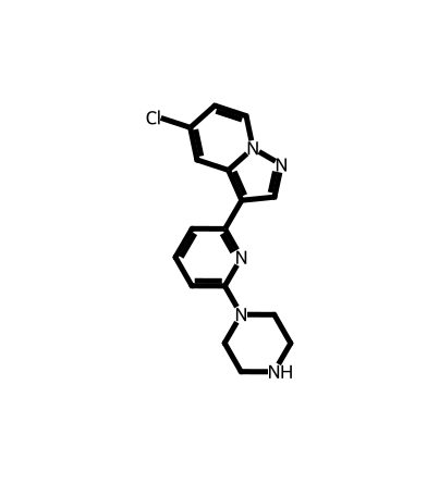 Clc1ccn2ncc(-c3cccc(N4CCNCC4)n3)c2c1